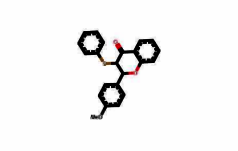 COc1ccc(C2Oc3ccccc3C(=O)C2Sc2ccccc2)cc1